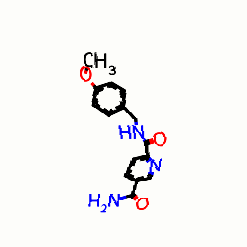 COc1ccc(CNC(=O)c2ccc(C(N)=O)cn2)cc1